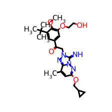 COc1c(OCCO)cc(C(=O)Cn2nc3c(C)cc(OCC4CC4)nn3c2=N)cc1C(C)(C)C